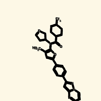 O=C(O)c1cc(-c2ccc(-c3cc4ncccn4n3)cc2)oc1N(C(=O)C1CCC(C(F)(F)F)CC1)C1CCOC1